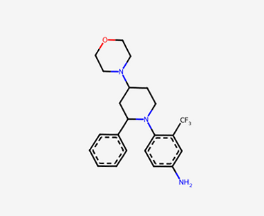 Nc1ccc(N2CCC(N3CCOCC3)CC2c2ccccc2)c(C(F)(F)F)c1